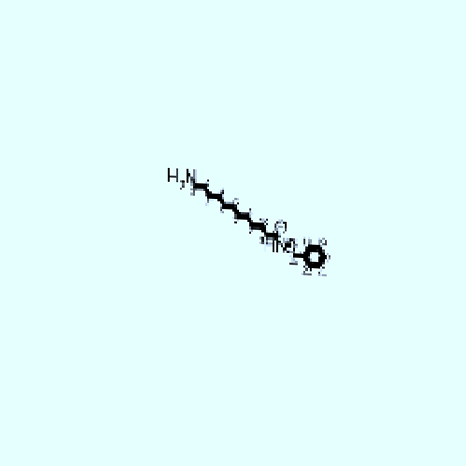 NCCCCCCCCCCCC(=O)NOCc1ccccc1